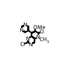 COc1c(-c2cncnc2)c2nc(Cl)ncc2n(C)c1=O